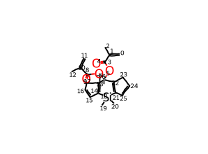 C=C(C)C(=O)[O][Ti]1([O]C(=O)C(=C)C)[C]2=C(C=CC2)[Si](C)(C)C2=[C]1CC=C2